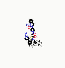 CC(C)(C)CCN1C(=O)[C@H](CC(=O)N2CCC(N3CCc4ccccc4NC3=O)CC2)S[C@@H]1c1ccccc1C1CCNCC1